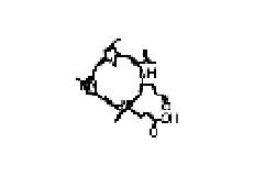 C=C(C)c1cc2nc(cc3[nH]c(cc4nc(cc(CCC=O)[nH]1)C(CCC(=O)O)=C4C)cc3C)C=C2C